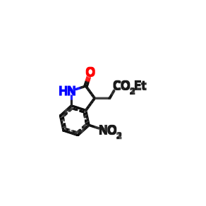 CCOC(=O)CC1C(=O)Nc2cccc([N+](=O)[O-])c21